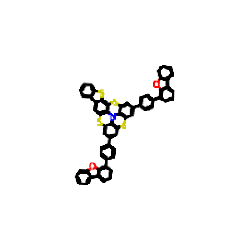 c1ccc2c(c1)oc1c(-c3ccc(-c4cc5c6c(c4)Sc4cc7c(sc8ccccc87)c7c4N6c4c(cc(-c6ccc(-c8cccc9c8oc8ccccc89)cc6)cc4S7)S5)cc3)cccc12